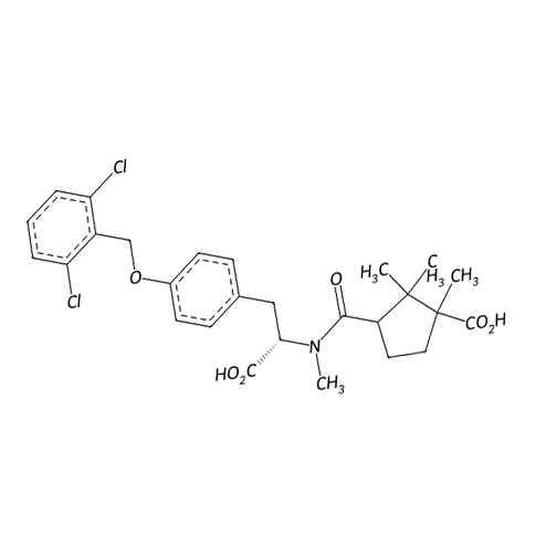 CN(C(=O)C1CCC(C)(C(=O)O)C1(C)C)[C@@H](Cc1ccc(OCc2c(Cl)cccc2Cl)cc1)C(=O)O